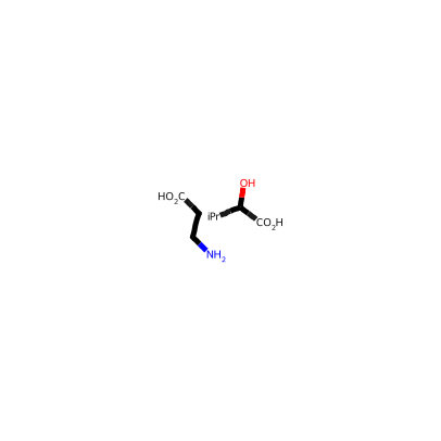 CC(C)C(O)C(=O)O.NCCC(=O)O